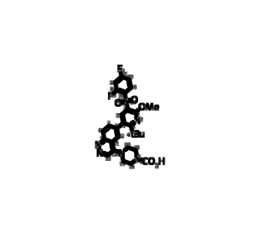 COc1nc(C(C)(C)C)c(-c2ccc3nncc(N4CCN(C(=O)O)CC4)c3c2)cc1S(=O)(=O)c1ccc(F)cc1F